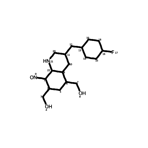 O=NC1C(CO)CC(CO)C2CC(CC3CCC(F)CC3)CNC21